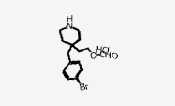 Cl.O=COCCC1(Cc2ccc(Br)cc2)CCNCC1